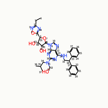 CCc1noc([C@H]2O[C@@H](n3cnc4c(NCC(c5ccccc5)c5ccccc5)nc(N(CO)CC(C)C)nc43)[C@H](O)[C@@H]2O)n1